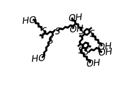 CC(C)C(CCC(CCSCCCCCCO)CSCCCCCC(O)C(CCO)CCCSC1CC(C)C(SCCCCCCO)CC1C(C)CCC(C)C1CCC(C)C(SCCCCCCO)C1SCCCCCCO)SCCCCCCO